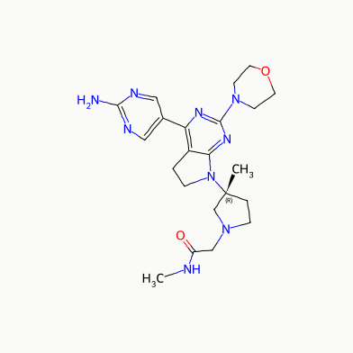 CNC(=O)CN1CC[C@@](C)(N2CCc3c(-c4cnc(N)nc4)nc(N4CCOCC4)nc32)C1